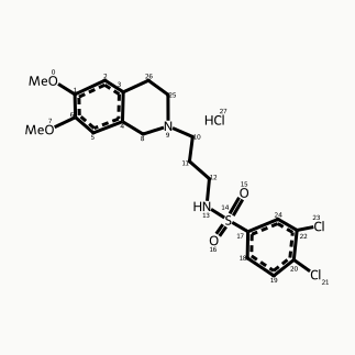 COc1cc2c(cc1OC)CN(CCCNS(=O)(=O)c1ccc(Cl)c(Cl)c1)CC2.Cl